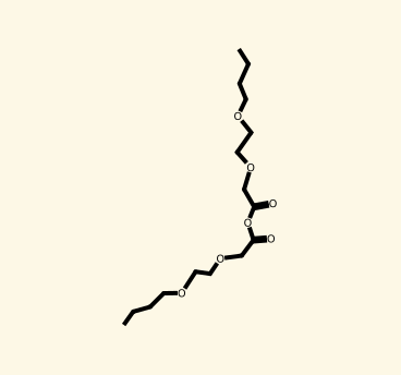 CCCCOCCOCC(=O)OC(=O)COCCOCCCC